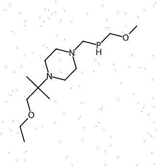 CCOCC(C)(C)N1CCN(CPCOC)CC1